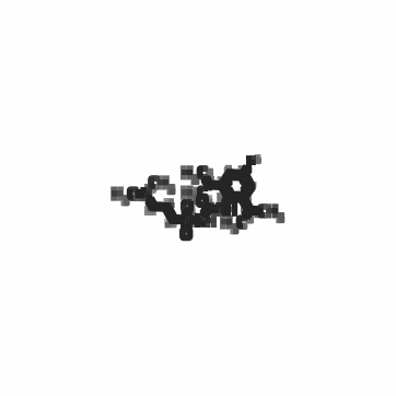 CC(C)c1cc(F)cc(C(C)C)c1NC(=O)NS(=O)(=O)CCCN(C)C